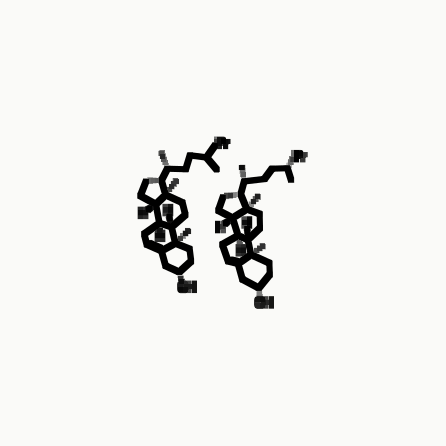 CC(C)C(C)CC[C@@H](C)[C@H]1CC[C@H]2[C@@H]3CC=C4C[C@@H](O)CC[C@]4(C)[C@H]3CC[C@]12C.CC(C)[C@H](C)CC[C@@H](C)[C@H]1CC[C@H]2[C@@H]3CC=C4C[C@@H](O)CC[C@]4(C)[C@H]3CC[C@]12C